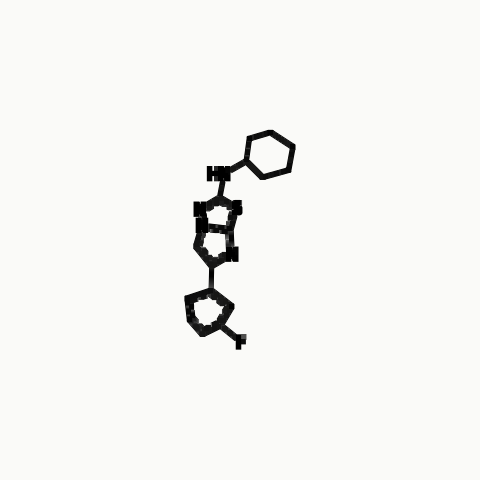 Fc1cccc(-c2cn3nc(NC4CCCCC4)sc3n2)c1